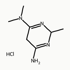 CC1N=C(N)CC(N(C)C)=N1.Cl